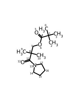 CC(C)(C)C(=O)OCC(C)(C)C(=O)N1CCCC1